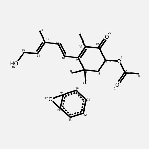 CC(=O)OC1CC(C)(C)C(C=CC(C)=CCO)=C(C)C1=O.c1ccc2c(c1)O2